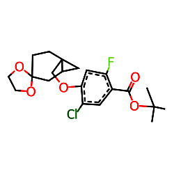 CC(C)(C)OC(=O)c1cc(Cl)c(OCC23CCC4(CC2C3)OCCO4)cc1F